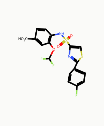 O=C(O)c1ccc(NS(=O)(=O)c2csc(-c3ccc(F)cc3)n2)c(OC(F)F)c1